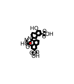 O=S(=O)(O)c1cc(O)c2ccc(C3(c4cccc5cc(S(=O)(=O)O)cc(S(=O)(=O)O)c45)C=NN=N3)cc2c1